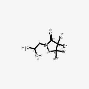 CC(O)CN1SC(Br)(Br)C(Br)(Br)C1=O